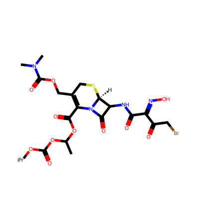 CC(C)OC(=O)OC(C)OC(=O)C1=C(COC(=O)N(C)C)CS[C@H]2C(NC(=O)C(=NO)C(=O)CBr)C(=O)N12